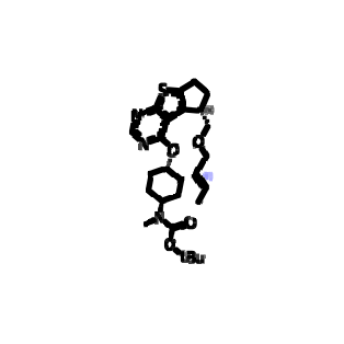 C/C=C/COC[C@H]1CCc2sc3ncnc(O[C@H]4CC[C@H](N(C)C(=O)OC(C)(C)C)CC4)c3c21